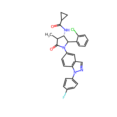 CC1C(=O)N(c2ccc3c(cnn3-c3ccc(F)cc3)c2)C(c2ccccc2Cl)[C@H]1NC(=O)C1CC1